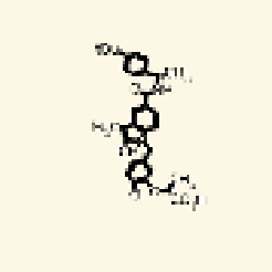 Cc1c(C)n(Cc2ccc(Cl)c(O[C@@H](C)C(=O)O)c2)c2ccc(C(=O)N[C@@H](C)c3ccc(C(C)(C)C)cc3)cc12